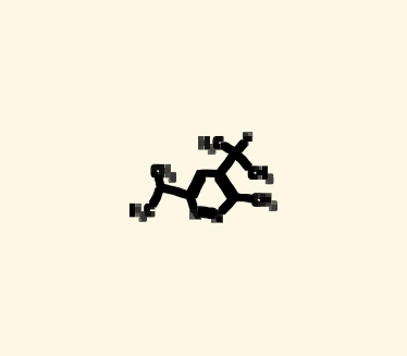 Cc1nnc(C(C)C)cc1C(C)(C)F